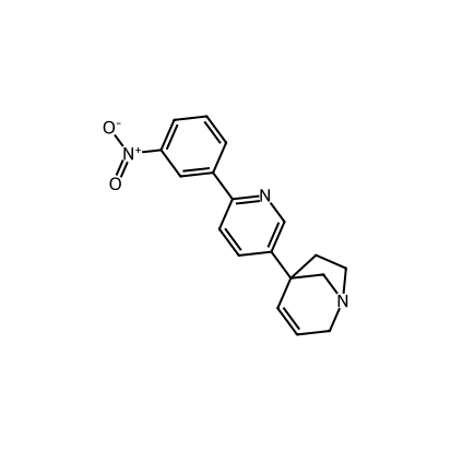 O=[N+]([O-])c1cccc(-c2ccc(C34C=CCN(CC3)C4)cn2)c1